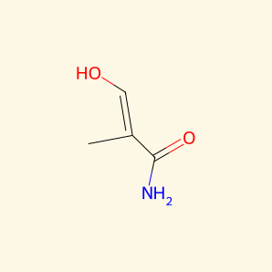 C/C(=C\O)C(N)=O